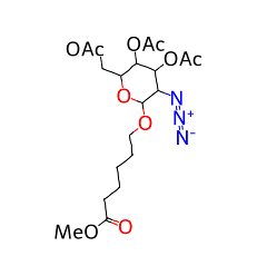 COC(=O)CCCCCOC1OC(COC(C)=O)C(OC(C)=O)C(OC(C)=O)C1N=[N+]=[N-]